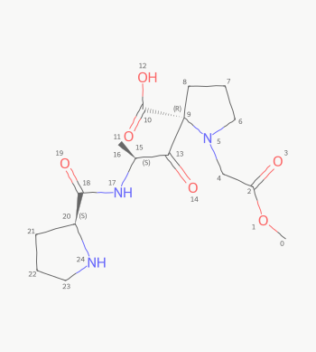 COC(=O)CN1CCC[C@]1(C(=O)O)C(=O)[C@H](C)NC(=O)[C@@H]1CCCN1